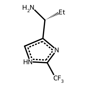 CC[C@@H](N)c1c[nH]c(C(F)(F)F)n1